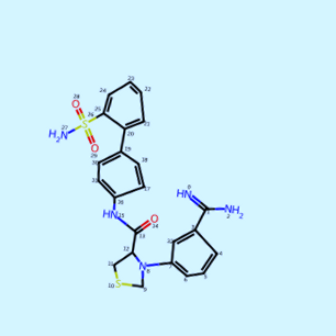 N=C(N)c1cccc(N2CSCC2C(=O)Nc2ccc(-c3ccccc3S(N)(=O)=O)cc2)c1